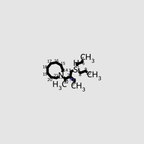 C/C=C(/C[SiH](CCC)CCC)C(C)N1CCCCCCCC1